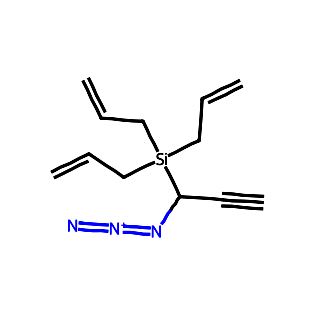 C#CC(N=[N+]=[N-])[Si](CC=C)(CC=C)CC=C